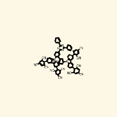 N#Cc1cc(C#N)c(-c2ccc3c(c2)c2cc(-c4c(C#N)cc(C#N)cc4C#N)ccc2n3-c2ccc(C(F)(F)F)c(-c3cc(-c4nc(-c5ccccc5)nc(-c5ccccc5)n4)ccc3-n3c4ccc(-c5c(C#N)cc(C#N)cc5C#N)cc4c4cc(-c5c(C#N)cc(C#N)cc5C#N)ccc43)c2)c(C#N)c1